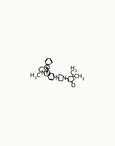 CC1CCC(c2ccccc2)S(=O)(=O)N1Cc1ccc(N2CCN(C3=CC(=O)CC(C)(C)C3)CC2)cc1F